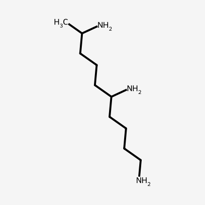 CC(N)CCCC(N)CCCCN